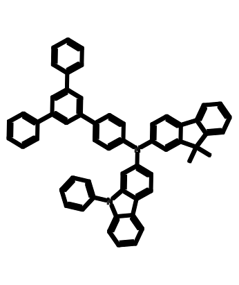 CC1(C)c2ccccc2-c2ccc(N(c3ccc(-c4cc(-c5ccccc5)cc(-c5ccccc5)c4)cc3)c3ccc4c5ccccc5n(-c5ccccc5)c4c3)cc21